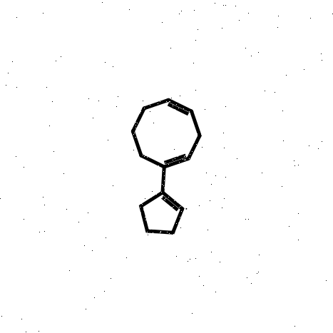 [C]1=C(/C2=C/C/C=C\CCC2)CCC1